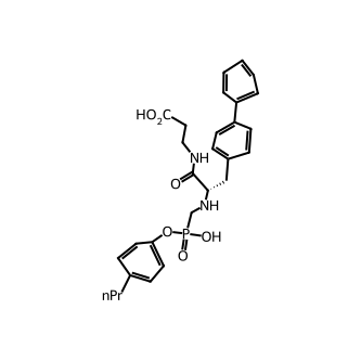 CCCc1ccc(OP(=O)(O)CN[C@@H](Cc2ccc(-c3ccccc3)cc2)C(=O)NCCC(=O)O)cc1